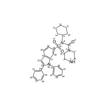 O=C(N1CCNCC1)N(C1CCCCC1)S(=O)(=O)c1ccc2cc(-c3ccccc3)n(-c3ccccc3)c2c1